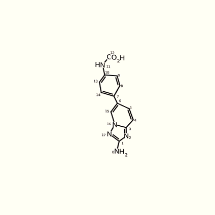 Nc1nc2ccc(-c3ccc(NC(=O)O)cc3)cn2n1